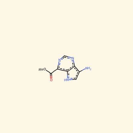 COC(=O)c1ncnc2c(N)c[nH]c12